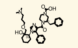 CN(C)CCCOC[C@@]1(O)CCCC[C@@H]1n1cnc(C(=O)N2CCN(C(=O)O)C[C@H]2Cc2ccccc2)c1-c1ccccc1